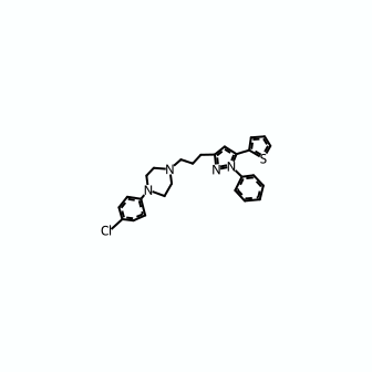 Clc1ccc(N2CCN(CCCc3cc(-c4cccs4)n(-c4ccccc4)n3)CC2)cc1